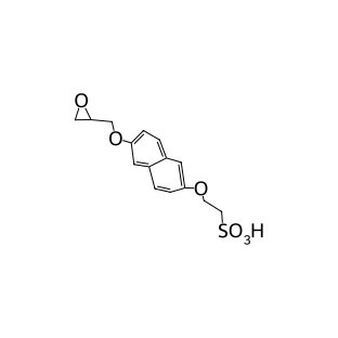 O=S(=O)(O)CCOc1ccc2cc(OCC3CO3)ccc2c1